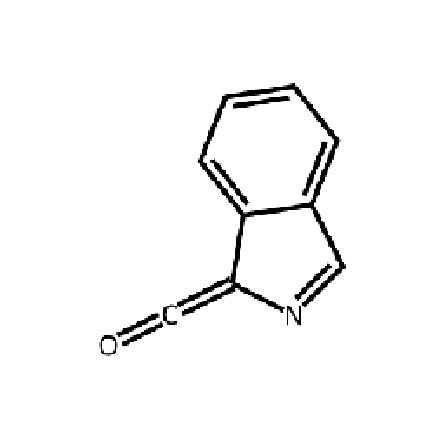 O=C=C1N=Cc2ccccc21